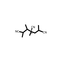 CC(C#N)C[C@@](C)(C#N)C(C)C(C)C#N